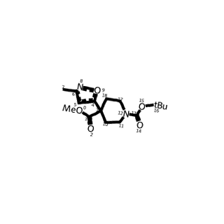 COC(=O)C1(c2cc(C)no2)CCN(C(=O)OC(C)(C)C)CC1